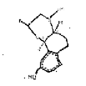 CCCN1CC(F)O[C@@H]2c3cc(O)ccc3CC[C@H]21